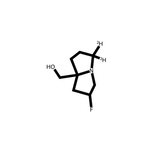 [2H]C1([2H])CCC2(CO)CC(F)CN12